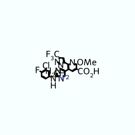 C=C(/N=C\c1c(N)n2nc(C(F)(F)F)cc2c2nc(OC)c(C(=O)O)cc12)Nc1ccc(F)c(Cl)c1